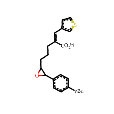 CCCCc1ccc(C2OC2CCC/C(=C/c2ccsc2)C(=O)O)cc1